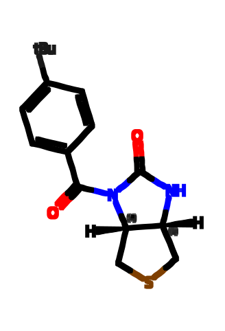 CC(C)(C)c1ccc(C(=O)N2C(=O)N[C@@H]3CSC[C@@H]32)cc1